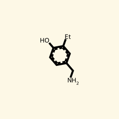 CCc1cc(CN)ccc1O